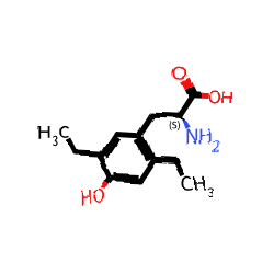 CCc1cc(C[C@H](N)C(=O)O)c(CC)cc1O